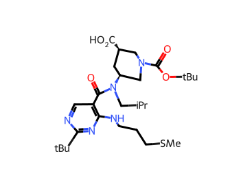 CSCCCNc1nc(C(C)(C)C)ncc1C(=O)N(CC(C)C)[C@H]1C[C@@H](C(=O)O)CN(C(=O)OC(C)(C)C)C1